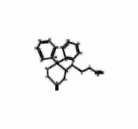 CNCCCC1CNCCC1(c1ccccc1)c1ccccc1